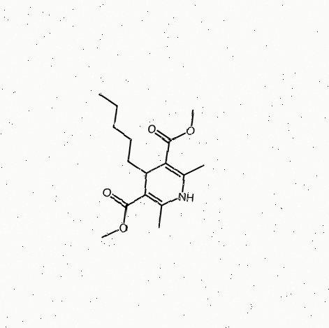 CCCCCC1C(C(=O)OC)=C(C)NC(C)=C1C(=O)OC